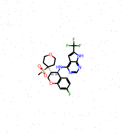 CS(=O)(=O)C1([C@H]2COc3cc(F)ccc3[C@@H]2Nc2ncnc3[nH]c(C(F)(F)F)cc23)CCOCC1